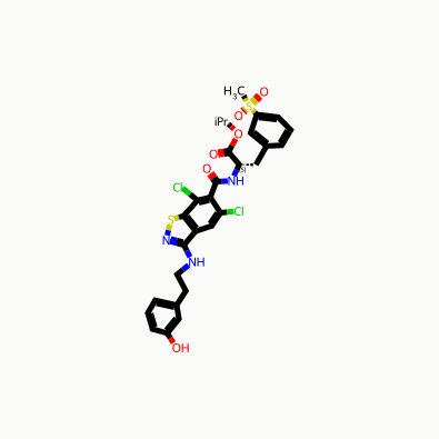 CC(C)OC(=O)[C@H](Cc1cccc(S(C)(=O)=O)c1)NC(=O)c1c(Cl)cc2c(NCCc3cccc(O)c3)nsc2c1Cl